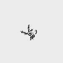 C[C@@H]([C@@H](O)[C@H](OCCO)O[C@@H]1[C@@H](O)[C@H](O[C@H]2OC(CN)=CC[C@H]2NCC(C)(C)CN(C)C)[C@@H](NC(=O)OC(C)(C)C)C[C@H]1NC(=O)[C@@H](O)CCNC(=O)OC(C)(C)C)N(C)C(=O)OC(C)(C)C